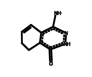 [NH]c1n[nH]c(=O)c2c1C=CCC2